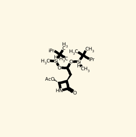 CC(=O)O[C@H]1NC(=O)[C@@H]1CC(O[SiH](C)C(C)(C)C(C)C)O[SiH](C)C(C)(C)C(C)C